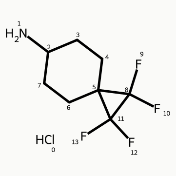 Cl.NC1CCC2(CC1)C(F)(F)C2(F)F